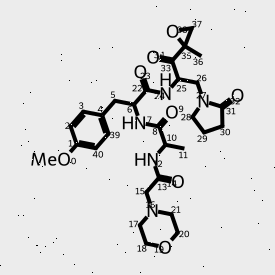 COc1ccc(CC(NC(=O)C(C)NC(=O)CN2CCOCC2)C(=O)NC(CN2CCCC2=O)C(=O)C2(C)CO2)cc1